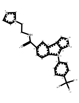 O=C(NCCn1ccnc1)c1ccc2c(c1)c1csnc1n2-c1ccc(C(F)(F)F)cc1